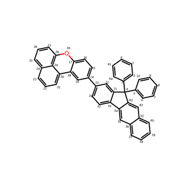 c1ccc(C2(c3ccccc3)c3cc(-c4ccc5c(c4)-c4cccc6cccc(c46)O5)ccc3-c3cc4ccccc4cc32)cc1